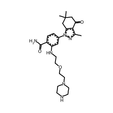 Cc1nn(-c2ccc(C(N)=O)c(NCCOCCN3CCNCC3)c2)c2c1C(=O)CC(C)(C)C2